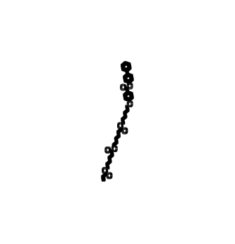 C=CC(=O)OCCCCCC(=O)OCCCCCC(=O)OCCCCCCOc1ccc(C(=O)Oc2ccc(-c3ccccc3)cc2)cc1